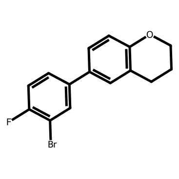 Fc1ccc(-c2ccc3c(c2)CCCO3)cc1Br